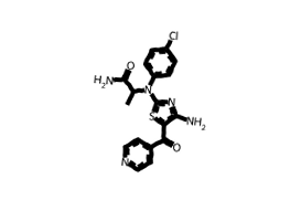 CC(C(N)=O)N(c1ccc(Cl)cc1)c1nc(N)c(C(=O)c2ccncc2)s1